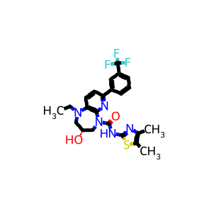 CCN1C[C@@H](O)CN(C(=O)Nc2nc(C)c(C)s2)c2nc(-c3cccc(C(F)(F)F)c3)ccc21